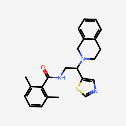 Cc1cccc(C)c1C(=O)NCC(c1cncs1)N1CCc2ccccc2C1